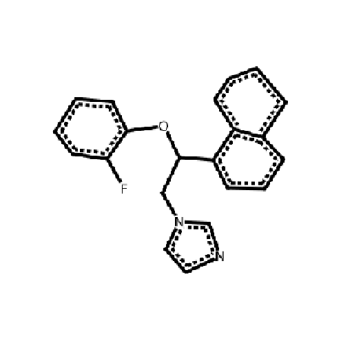 Fc1ccccc1OC(Cn1ccnc1)c1cccc2ccccc12